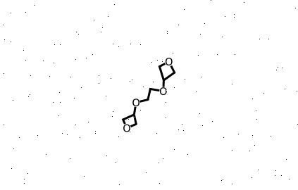 C(COC1COC1)OC1COC1